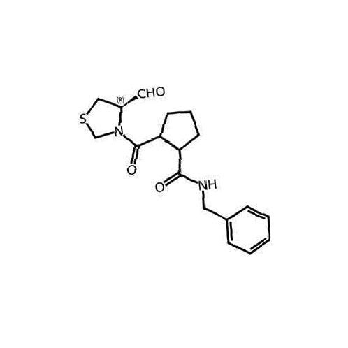 O=C[C@@H]1CSCN1C(=O)C1CCCC1C(=O)NCc1ccccc1